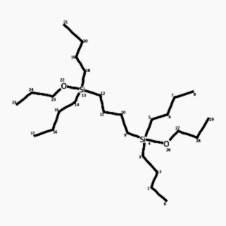 CCCC[Si](CCCC)(CCCC[Si](CCCC)(CCCC)OCCC)OCCC